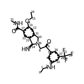 CCNc1cc(C(=O)CN2Cc3cc(OCC)c(C(=O)NC)cc3C2=N)cc(C(F)(F)F)c1